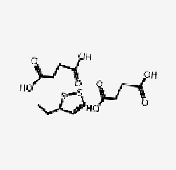 CCC1C=CSS1.O=C(O)CCC(=O)O.O=C(O)CCC(=O)O